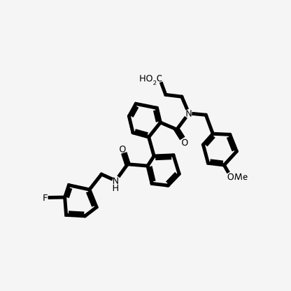 COc1ccc(CN(CCC(=O)O)C(=O)c2ccccc2-c2ccccc2C(=O)NCc2cccc(F)c2)cc1